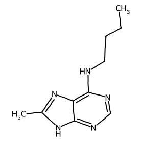 CCCCNc1ncnc2[nH]c(C)nc12